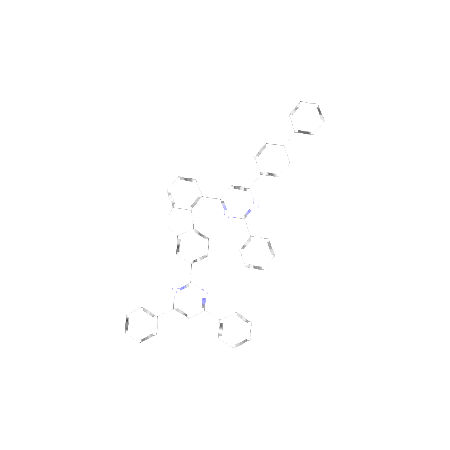 C1=CC(c2ccccc2)CC=C1c1cc(-c2cccc3sc4cc(-c5nc(-c6ccccc6)cc(-c6ccccc6)n5)ccc4c23)nc(-c2ccccc2)n1